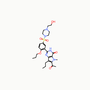 CCCOc1ccc(S(=O)(=O)N2CCN(CCO)CC2)cc1-c1nc2c(CCC)c(C(C)=O)n(C)c2c(=O)[nH]1